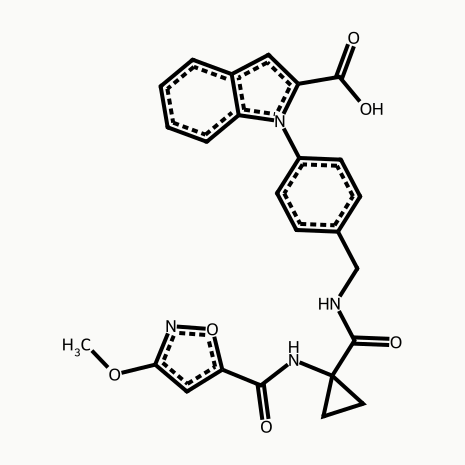 COc1cc(C(=O)NC2(C(=O)NCc3ccc(-n4c(C(=O)O)cc5ccccc54)cc3)CC2)on1